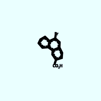 O=C(O)c1ccc2cc(Br)c3ccccc3c2c1